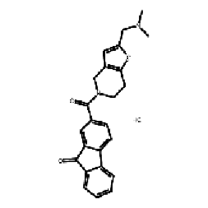 CN(C)Cc1cc2c(o1)CCN(C(=O)c1ccc3c(c1)C(=O)c1ccccc1-3)C2.Cl